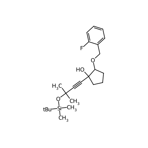 CC(C)(C#CC1(O)CCCC1OCc1ccccc1F)O[Si](C)(C)C(C)(C)C